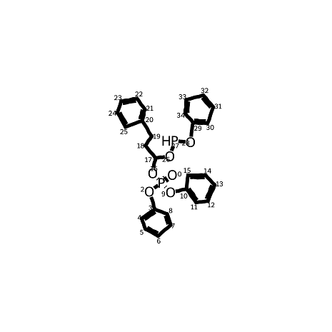 O=P(Oc1ccccc1)(Oc1ccccc1)OC(CCc1ccccc1)OPOc1ccccc1